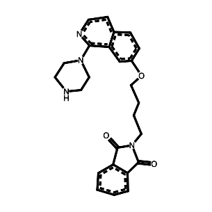 O=C1c2ccccc2C(=O)N1CCCCOc1ccc2ccnc(N3CCNCC3)c2c1